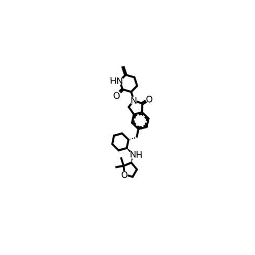 C=C1CCC(N2Cc3cc(C[C@H]4CCCC[C@@H]4N[C@@H]4CCOC4(C)C)ccc3C2=O)C(=O)N1